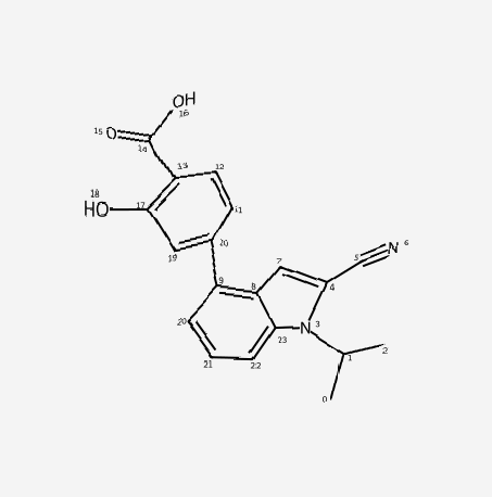 CC(C)n1c(C#N)cc2c(-c3ccc(C(=O)O)c(O)c3)cccc21